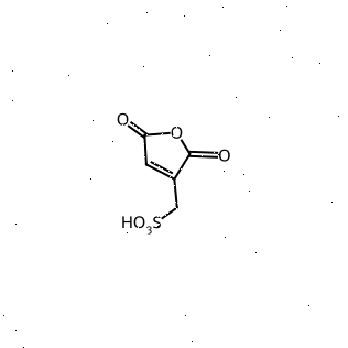 O=C1C=C(CS(=O)(=O)O)C(=O)O1